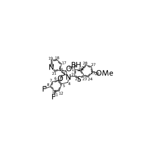 Bc1c(N(Cc2ccc(F)c(F)c2)S(=O)(=O)c2cccnc2)sc2cc(OC)ccc12